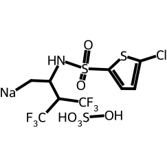 O=S(=O)(NC([CH2][Na])C(C(F)(F)F)C(F)(F)F)c1ccc(Cl)s1.O=S(=O)(O)O